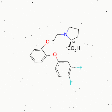 O=C(O)[C@@H]1CCCN1CCOc1ccccc1Oc1ccc(F)c(F)c1